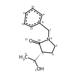 CC(O)[C@H]1CCN(Cc2ccccc2)C1=O